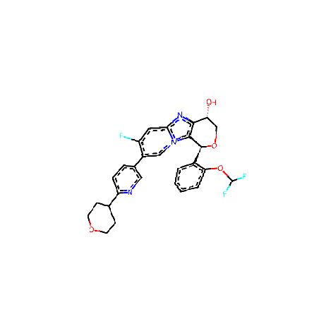 O[C@@H]1CO[C@@H](c2ccccc2OC(F)F)c2c1nc1cc(F)c(-c3ccc(C4CCOCC4)nc3)cn21